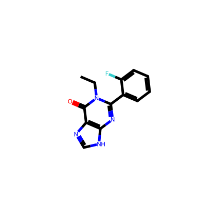 CCn1c(-c2ccccc2F)nc2[nH]cnc2c1=O